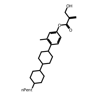 C=C(CO)C(=O)Oc1ccc(C2CCC(C3CCC(CCCCC)CC3)CC2)c(C)c1